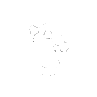 CN1CC[C@@H]2CC[C@@H](c3nc(-c4ccc(C(C)(O)c5cccc(C(F)(F)F)c5)cc4)c4c(N)nccn34)CN2C1=O